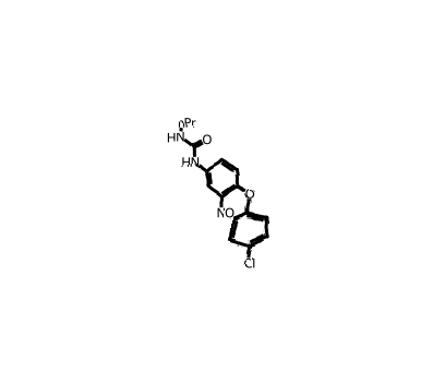 CCCNC(=O)Nc1ccc(Oc2ccc(Cl)cc2)c([N+](=O)[O-])c1